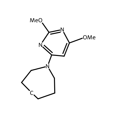 COc1cc(N2CCCCCC2)nc(OC)n1